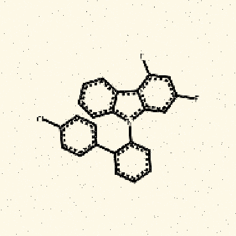 Fc1cc(F)c2c3ccccc3n(-c3ccccc3-c3ccc(Cl)cc3)c2c1